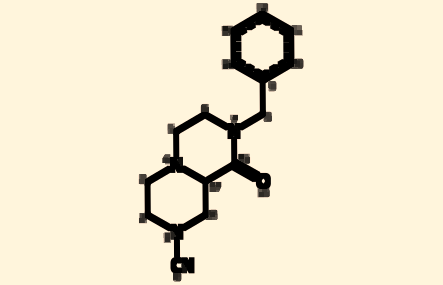 N#CN1CCN2CCN(Cc3ccccc3)C(=O)C2C1